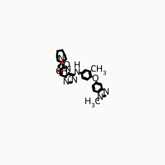 C=CC(=O)N1C2CCC1CC(c1ccc3ncnc(Nc4ccc(Oc5ccc6c(c5)ncn6C)c(C)c4)c3n1)C2